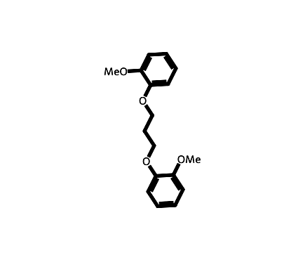 COc1ccccc1OCCCOc1ccccc1OC